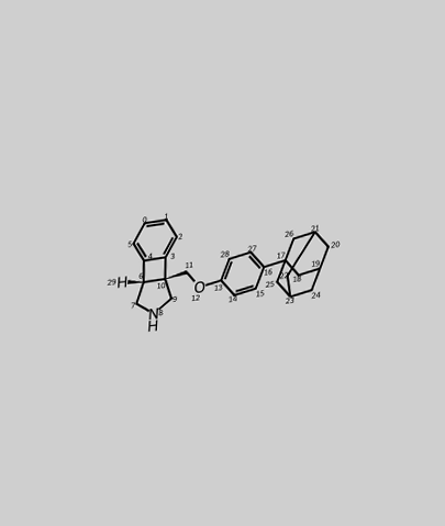 c1ccc2c(c1)[C@H]1CNC[C@@]21COc1ccc(C23CC4CC(CC(C4)C2)C3)cc1